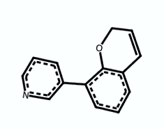 C1=Cc2cccc(-c3cccnc3)c2OC1